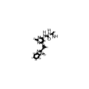 CC(=N)NC(=O)Nc1cc([C@H]2CC2c2nc3ccccc3n2C)nc(C)n1